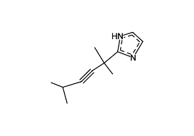 CC(C)C#CC(C)(C)c1ncc[nH]1